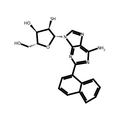 Nc1nc(-c2cccc3ccccc23)nc2c1ncn2[C@@H]1O[C@H](CO)[C@@H](O)[C@H]1S